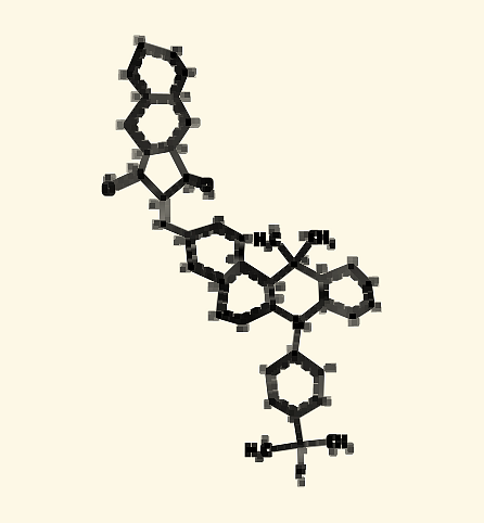 CC(C)(F)c1ccc(N2c3ccccc3C(C)(C)c3c2ccc2cc(C=C4C(=O)c5cc6ccccc6cc5C4=O)ccc32)cc1